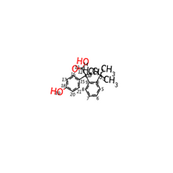 CC(C)(C)c1ccccc1C(C)(C(=O)O)c1ccc(O)cc1